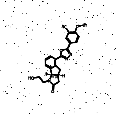 CC(C)Oc1ccc(-c2nnc(-c3cccc4c3C[C@H]3CC(=O)N(CCO)[C@@H]43)o2)cc1C#N